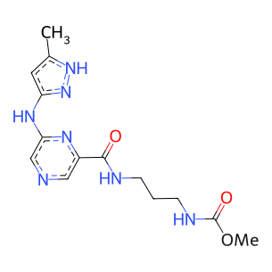 COC(=O)NCCCNC(=O)c1cncc(Nc2cc(C)[nH]n2)n1